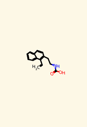 C=Cc1c(CCNC(=O)O)ccc2ccccc12